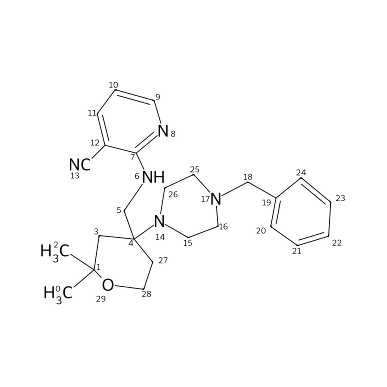 CC1(C)CC(CNc2ncccc2C#N)(N2CCN(Cc3ccccc3)CC2)CCO1